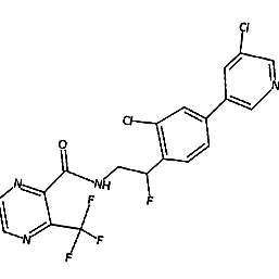 O=C(NCC(F)c1ccc(-c2cncc(Cl)c2)cc1Cl)c1nccnc1C(F)(F)F